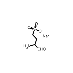 NC(C=O)CCS(=O)(=O)[O-].[Na+]